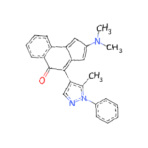 Cc1c(C2=C3C=C(N(C)C)C=C3c3ccccc3C2=O)cnn1-c1ccccc1